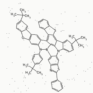 CC(C)(C)c1ccc(N2B3c4cc5nc(-c6ccccc6)sc5cc4-n4c5ccc(C(C)(C)C)cc5c5c6sc7ccccc7c6c(c3c54)-c3cc4c(cc32)oc2ccc(C(C)(C)C)cc24)cc1